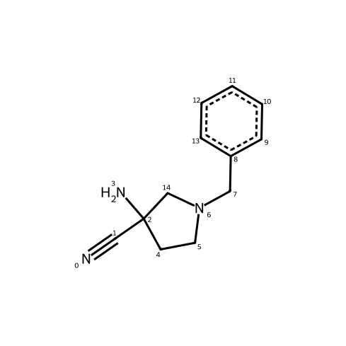 N#CC1(N)CCN(Cc2ccccc2)C1